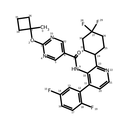 CC1(Oc2ncc(C(=O)Nc3c(-c4cc(F)ccc4F)ccnc3C3CCC(F)(F)CC3)cn2)CCC1